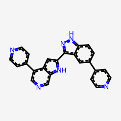 c1cc(-c2ccc3[nH]nc(-c4cc5c(-c6ccncc6)cncc5[nH]4)c3c2)ccn1